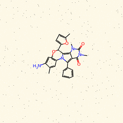 Cc1ccc(C2Oc3cc(N)c(C)cc3-n3c(-c4ccccc4)c4c(=O)n(C)c(=O)n(C)c4c32)o1